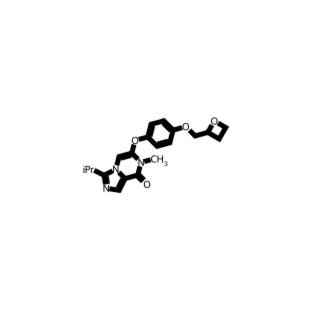 CC(C)c1ncc2c(=O)n(C)c(Oc3ccc(OCC4CCO4)cc3)cn12